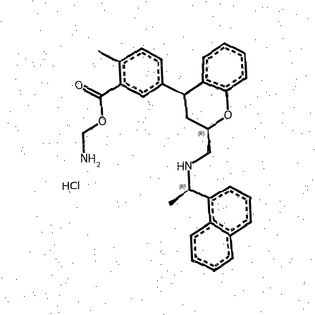 Cc1ccc(C2C[C@H](CN[C@H](C)c3cccc4ccccc34)Oc3ccccc32)cc1C(=O)OCN.Cl